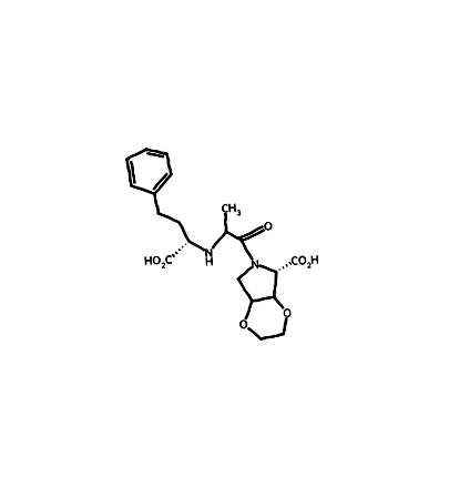 CC(N[C@@H](CCc1ccccc1)C(=O)O)C(=O)N1CC2OCCOC2[C@H]1C(=O)O